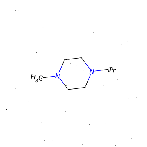 [CH2]C(C)N1CCN(C)CC1